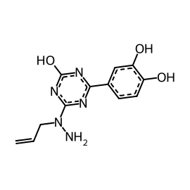 C=CCN(N)c1nc(O)nc(-c2ccc(O)c(O)c2)n1